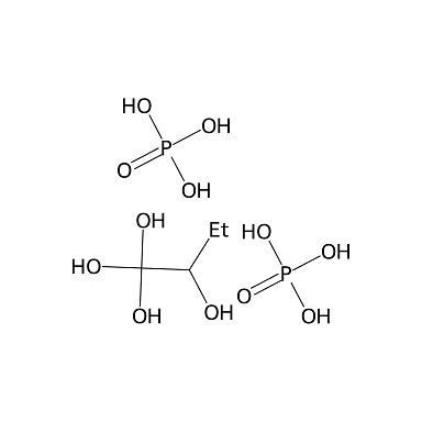 CCC(O)C(O)(O)O.O=P(O)(O)O.O=P(O)(O)O